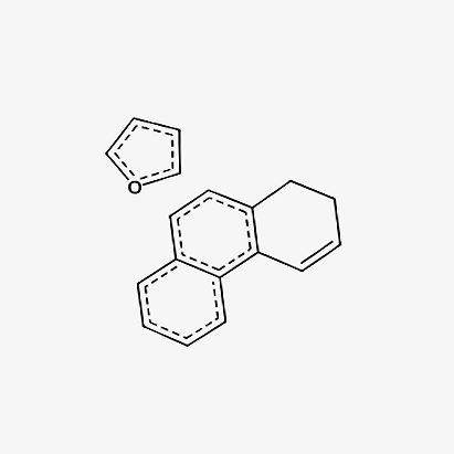 C1=Cc2c(ccc3ccccc23)CC1.c1ccoc1